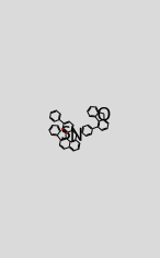 c1ccc(-c2ccc(N(c3ccc(-c4cccc5oc6ccccc6c45)cc3)c3cccc4ccc5c6ccccc6sc5c34)cc2)cc1